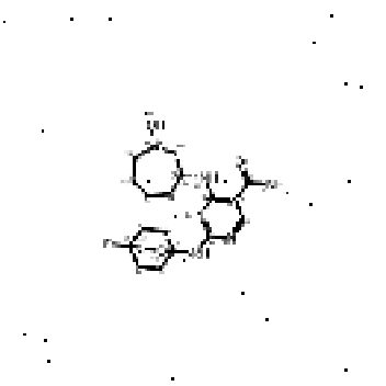 NC(=O)c1cnc(NC23CCC(F)(CC2)CC3)nc1N[C@@H]1CCCC[C@H](O)C1